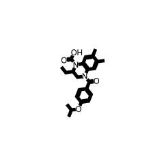 CCC1CN(C(=O)c2ccc(OC(C)C)cc2)c2cc(C)c(C)cc2N1C(=O)O